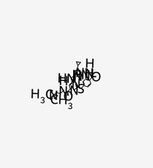 CN(C)CCNC(=O)c1cc(Nc2cc(C3CC3)[nH]n2)nc(Sc2ccc3c(=O)[nH][nH]c3c2)n1